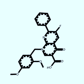 COc1ccc(Cn2cc(C(=O)O)c(=O)c3cc(F)c(-c4ccccc4)nc32)c(OC)c1